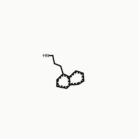 [NH]CCCc1cccc2ccccc12